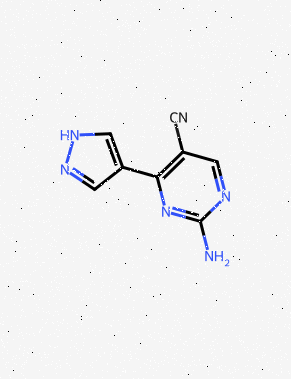 N#Cc1cnc(N)nc1-c1cn[nH]c1